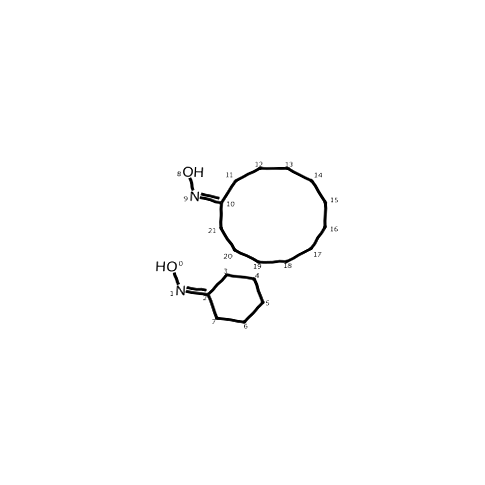 ON=C1CCCCC1.ON=C1CCCCCCCCCCC1